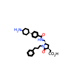 N[C@H]1CC[C@H](c2ccc(C(=O)NC[C@@H]3C[C@@H](CC(=O)O)C(=O)N3CCCc3ccccc3)cc2)CC1